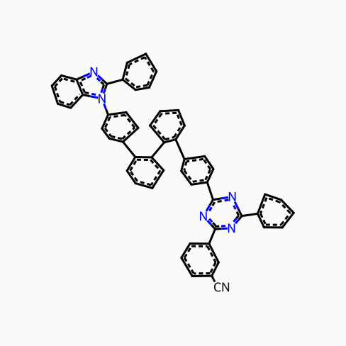 N#Cc1cccc(-c2nc(-c3ccccc3)nc(-c3ccc(-c4ccccc4-c4ccccc4-c4ccc(-n5c(-c6ccccc6)nc6ccccc65)cc4)cc3)n2)c1